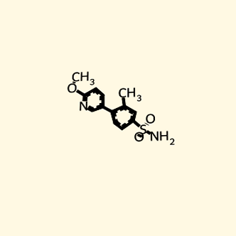 COc1ccc(-c2ccc(S(N)(=O)=O)cc2C)cn1